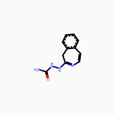 NC(=O)NNC1=NC=Cc2ccccc2C1